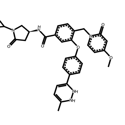 COc1ccn(Cc2ccc(C(=O)N[C@H]3CC(=O)N(C4CC4)C3)cc2Oc2ccc(C3=CC=C(C)NN3)cc2)c(=O)c1